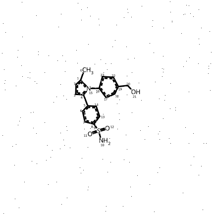 Cc1ccc(-c2ccc(S(N)(=O)=O)cc2)n1-c1ccc(CO)cc1